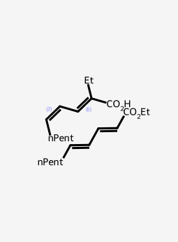 CCCCC/C=C\C=C(/CC)C(=O)O.CCCCCC=CC=CC(=O)OCC